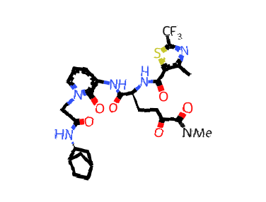 CNC(=O)C(=O)CC[C@H](NC(=O)c1sc(C(F)(F)F)nc1C)C(=O)Nc1cccn(CC(=O)N[C@@H]2CC3CCC2C3)c1=O